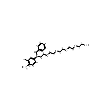 Cc1cc(N(CCOCCOCCOCCOCCO)Cc2ccccc2)ccc1N